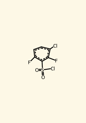 O=S(=O)(Cl)c1c(F)ccc(Cl)c1F